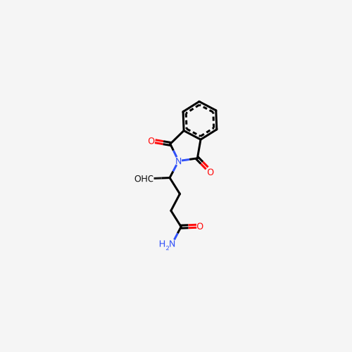 NC(=O)CCC(C=O)N1C(=O)c2ccccc2C1=O